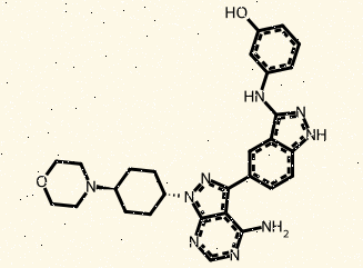 Nc1ncnc2c1c(-c1ccc3[nH]nc(Nc4cccc(O)c4)c3c1)nn2[C@H]1CC[C@H](N2CCOCC2)CC1